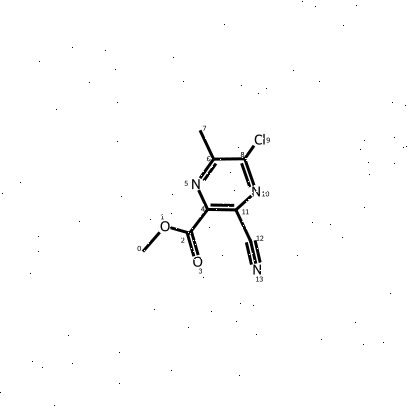 COC(=O)c1nc(C)c(Cl)nc1C#N